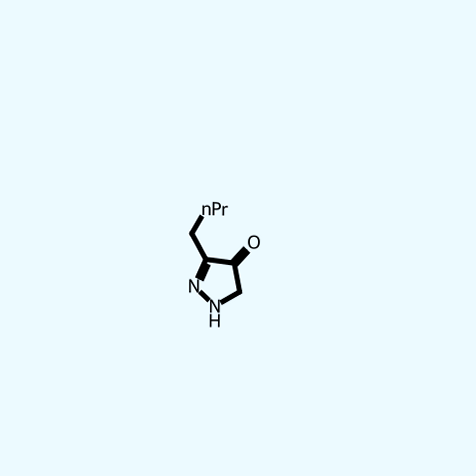 CCCCC1=NNCC1=O